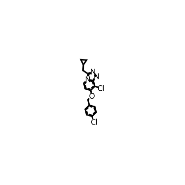 Clc1ccc(COc2ccn3c(CC4CC4)nnc3c2Cl)cc1